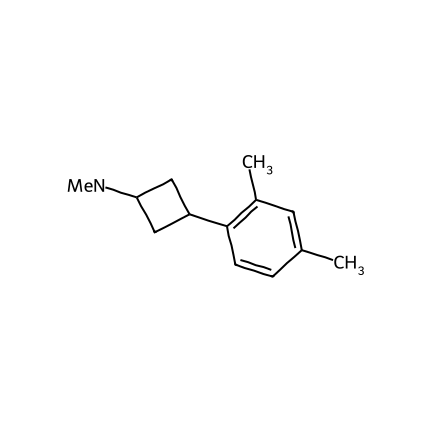 CNC1CC(c2ccc(C)cc2C)C1